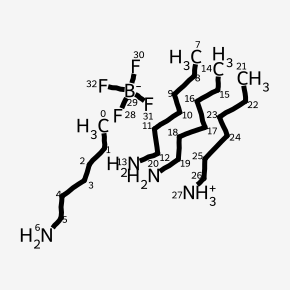 CCCCCCN.CCCCCCN.CCCCCCN.CCCCCC[NH3+].F[B-](F)(F)F